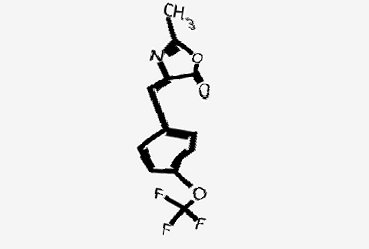 CC1=NC(=Cc2ccc(OC(F)(F)F)cc2)C(=O)O1